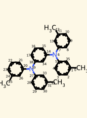 Cc1cccc(N(c2cccc(C)c2)c2cccc(N(c3cccc(C)c3)c3cccc(C)c3)c2)c1